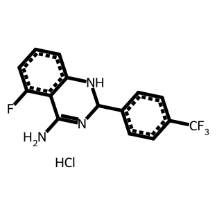 Cl.NC1=NC(c2ccc(C(F)(F)F)cc2)Nc2cccc(F)c21